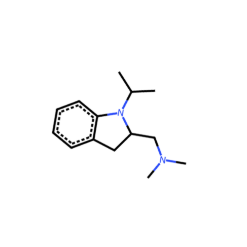 CC(C)N1c2ccccc2CC1CN(C)C